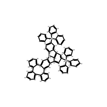 c1ccc([Si](c2ccccc2)(c2ccccc2)c2ccc3c(c2)c2cc([Si](c4ccccc4)(c4ccccc4)c4ccccc4)cc4c5cc6c(cc5n3c24)-c2ccccc2-c2ccccc2-c2ccccc2-6)cc1